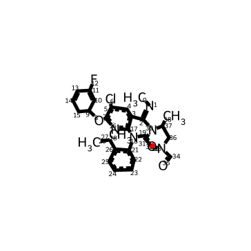 C/N=C(\c1cc(Cl)c(OC2C=C(F)C=CC2)nc1N(C=O)c1ccccc1C(C)C)N1CCN(C=O)CC1C